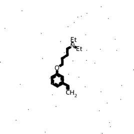 C=Cc1cccc(OCCCCN(CC)CC)c1